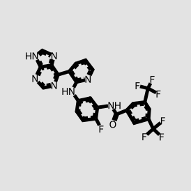 O=C(Nc1cc(Nc2ncccc2-c2ncnc3[nH]cnc23)ccc1F)c1cc(C(F)(F)F)cc(C(F)(F)F)c1